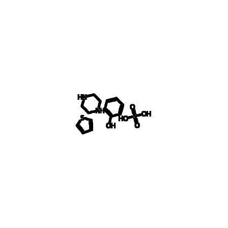 C1CNCCN1.O=S(=O)(O)O.Oc1ccccc1.c1ccsc1